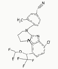 Cc1cc(C#N)ccc1N1CCCn2c1nc1c(Cl)ccc(C(OC(F)F)C(F)(F)F)c12